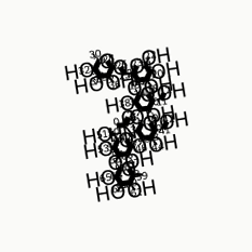 CC(=O)N[C@H]1[C@H](O[C@H]2[C@@H](O)[C@@H](CO)O[C@@H](O[C@H]3[C@H](O)[C@@H](O)[C@H](O)O[C@@H]3CO[C@@H]3O[C@@H](C)[C@@H](O)[C@@H](O)[C@@H]3O)[C@@H]2O)O[C@H](CO)[C@@H](O)[C@@H]1O[C@@H]1O[C@H](CO)[C@H](O)[C@H](O[C@@H]2O[C@@H](C)[C@@H](O)[C@@H](O)[C@@H]2O)[C@H]1O